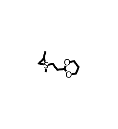 CC1CS1(C)CCC1OCCCO1